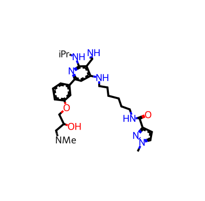 CNCC(O)COc1cccc(-c2cc(NCCCCCCNC(=O)c3ccn(C)n3)c(C=N)c(NC(C)C)n2)c1